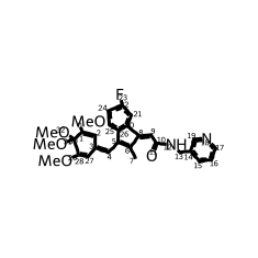 COC1=CC(=CC2=C(C)/C(=C\C(=O)NCc3cccnc3)c3cc(F)ccc32)C=C(OC)C1(OC)OC